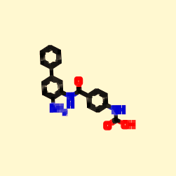 Nc1ccc(-c2ccccc2)cc1NC(=O)c1ccc(NC(=O)O)cc1